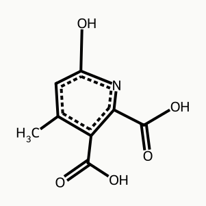 Cc1cc(O)nc(C(=O)O)c1C(=O)O